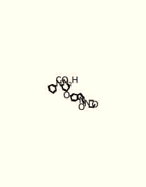 O=C(O)N(c1ccccc1)c1cc(Oc2ccc3c(ccn3C(=O)N3CCOCC3)c2)ccn1